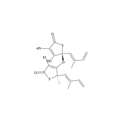 C=C/C(C)=C/[C@@]1(C)SC(=O)C(CC)=C1O[C@]1(/C=C(\C)C=C)SC(=O)C(CCC)=C1O